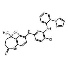 CC1(C)CCC(=O)Nc2ccc(Nc3ncc(Cl)c(Nc4ccccc4-n4cccn4)n3)cc21